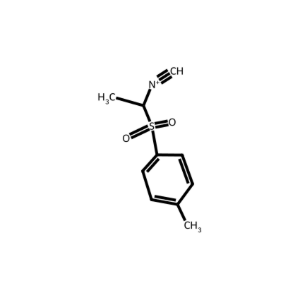 C#[N+]C(C)S(=O)(=O)c1ccc(C)cc1